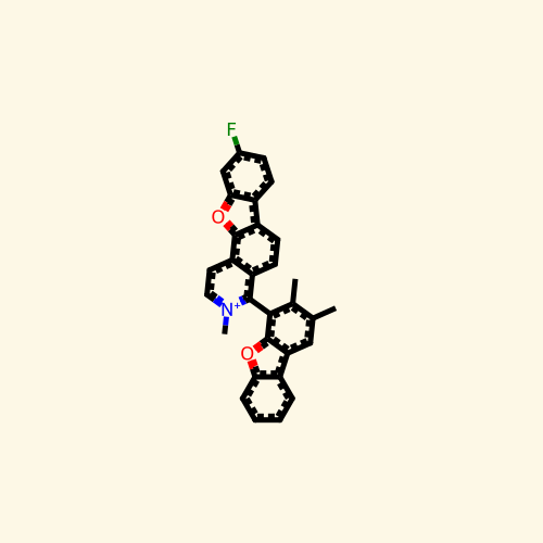 Cc1cc2c(oc3ccccc32)c(-c2c3ccc4c5ccc(F)cc5oc4c3cc[n+]2C)c1C